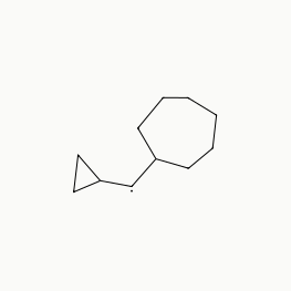 [CH](C1CCCCCC1)C1CC1